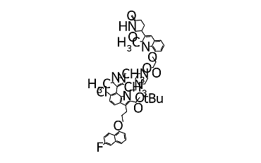 Cc1nc2c(OCC(=O)ON3CCN(CCn4c(C(=O)OC(C)(C)C)c(CCCOc5cccc6cc(F)ccc56)c5ccc(Cl)c(-c6c(C)nn(C)c6C)c54)CC3)cccc2cc1C1CCC(=O)NC1=O